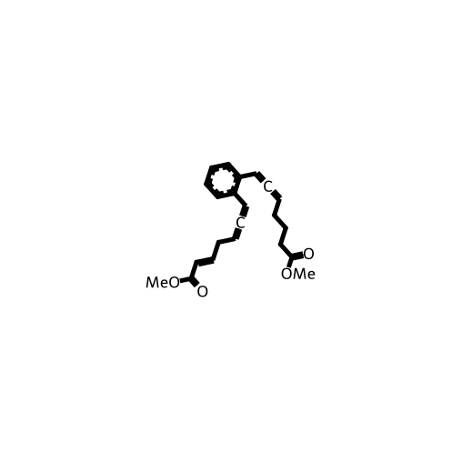 COC(=O)/C=C/CC=C=Cc1ccccc1C=C=CCCCC(=O)OC